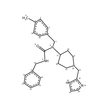 Cc1ccc(CN(C(=O)NCc2ccccc2)C2CCN(Cc3ncc[nH]3)CC2)cc1